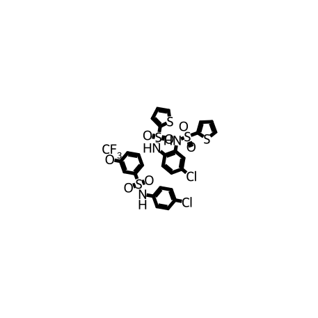 O=S(=O)(Nc1ccc(Cl)cc1)c1cccc(OC(F)(F)F)c1.O=S(=O)(Nc1ccc(Cl)cc1NS(=O)(=O)c1cccs1)c1cccs1